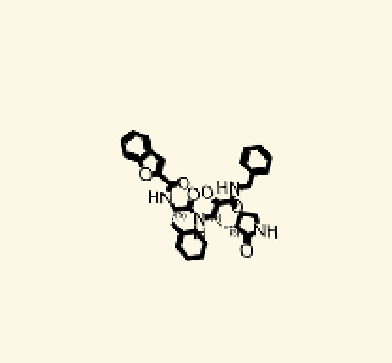 O=C(NCc1ccccc1)C(=O)[C@H](C[C@@H]1CCNC1=O)NC(=O)[C@H](CC1CCCCC1)NC(=O)c1cc2ccccc2o1